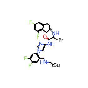 CCCC(N[C@H]1CCc2cc(F)cc(F)c2C1)C(=O)Nc1cn(-c2cc(F)c(F)cc2CNCC(C)(C)C)cn1